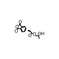 C=CC(=O)OCC(C)O.O=C1OC(=O)c2ccccc21